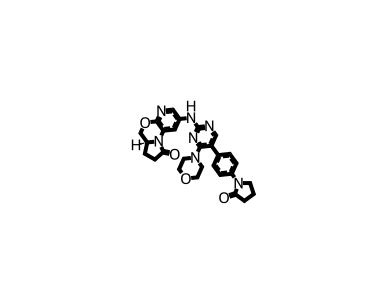 O=C1CCCN1c1ccc(-c2cnc(Nc3cnc4c(c3)N3C(=O)CC[C@H]3CO4)nc2N2CCOCC2)cc1